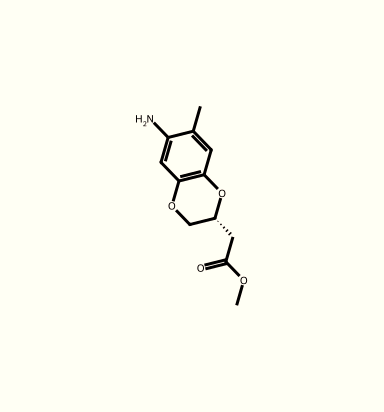 COC(=O)C[C@@H]1COc2cc(N)c(C)cc2O1